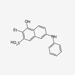 CCc1c(S(=O)(=O)O)cc2cc(Nc3ccccc3)ccc2c1O